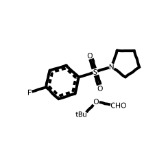 CC(C)(C)OC=O.O=S(=O)(c1ccc(F)cc1)N1CCCC1